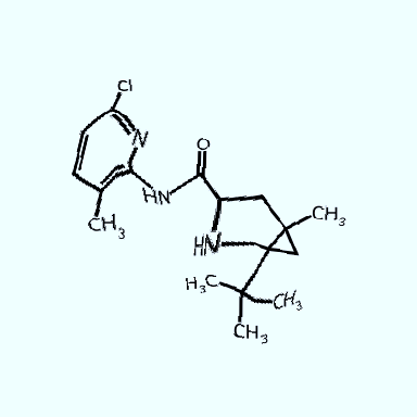 Cc1ccc(Cl)nc1NC(=O)C1CC2(C)CC2(C(C)(C)C)N1